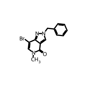 Cn1cc(Br)c2nn(Cc3ccccc3)cc2c1=O